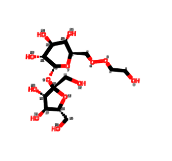 OCCOOC[C@H]1O[C@H](O[C@]2(CO)O[C@H](CO)[C@@H](O)[C@@H]2O)[C@H](O)[C@@H](O)[C@@H]1O